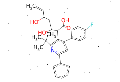 C=CC(O)CC(O)C(C(=O)O)c1c(-c2ccc(F)cc2)cc(-c2ccccc2)nc1C(C)(C)C